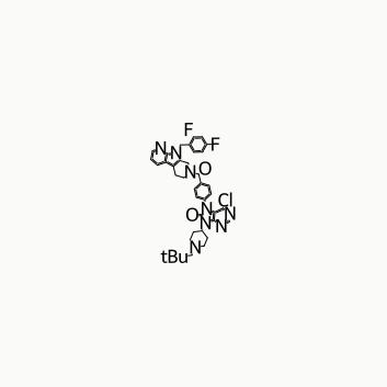 CC(C)(C)CN1CCC(n2c(=O)n(-c3ccc(C(=O)N4CCc5c(n(Cc6ccc(F)cc6F)c6ncccc56)C4)cc3)c3c(Cl)ncnc32)CC1